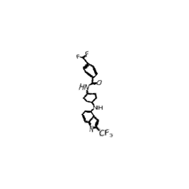 O=C(NC1CCC(NC2=CC=CC3=NC(C(F)(F)F)=CC23)CC1)c1ccc(C(F)F)cc1